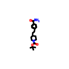 CC(C)(C)OC(=O)N1CCC(CCc2ccc(C(N)=O)cc2)CC1